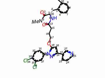 CNC(=O)[C@H](Cc1ccccc1C)NC(=O)CCCOc1cc(-c2cccnc2)nn1-c1ccc(Cl)c(Cl)c1